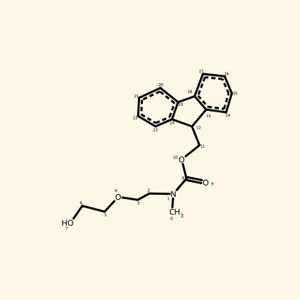 CN(CCOCCO)C(=O)OCC1c2ccccc2-c2ccccc21